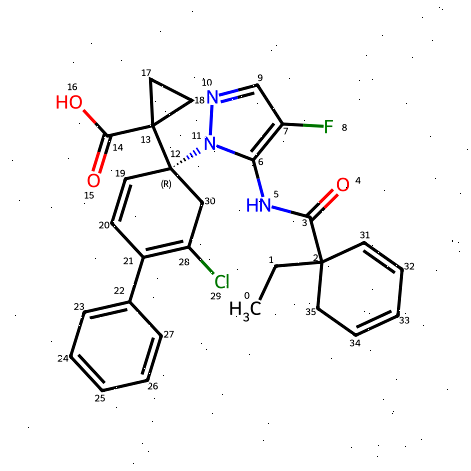 CCC1(C(=O)Nc2c(F)cnn2[C@@]2(C3(C(=O)O)CC3)C=CC(c3ccccc3)=C(Cl)C2)C=CC=CC1